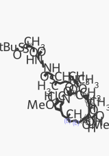 COc1cc2cc(c1Cl)N(C)C(=O)[C@H](OC(=O)[C@H](C)N(C)C(=O)CCC(C)(C)SCC(=O)NCCNC(=O)OC[C@H](C)SSC(=O)C(C)(C)C)C[C@@]1(C)C[C@H]1[C@H](C)[C@@H]1C[C@@](O)(NC(=O)O1)[C@H](OC)/C=C/C=C(\C)C2